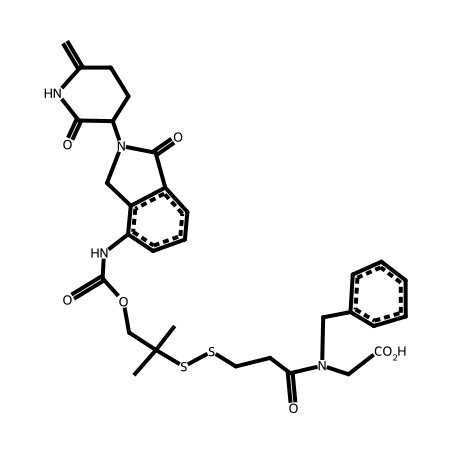 C=C1CCC(N2Cc3c(NC(=O)OCC(C)(C)SSCCC(=O)N(CC(=O)O)Cc4ccccc4)cccc3C2=O)C(=O)N1